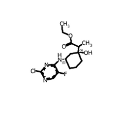 CCOC(=O)C(C)[C@]1(O)CCC[C@H](Nc2nc(Cl)ncc2F)C1